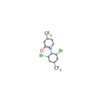 O=c1cc(C(F)(F)F)ccn1-c1c(Br)cc(C(F)(F)F)cc1Br